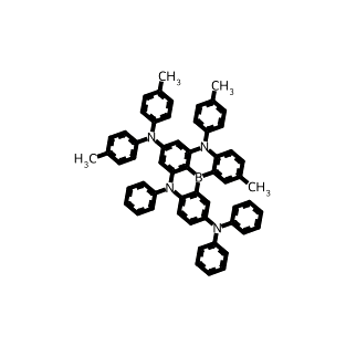 Cc1ccc(N(c2ccc(C)cc2)c2cc3c4c(c2)N(c2ccccc2)c2ccc(N(c5ccccc5)c5ccccc5)cc2B4c2cc(C)ccc2N3c2ccc(C)cc2)cc1